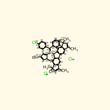 CC1=CC(C)(C)c2cc3c(cc21)-c1cc2c(cc1[CH]3[Zr+2]([C]1=CC(C(C)(C)C)=CC1C(C)C)=[C](c1ccc(Cl)cc1)c1ccc(Cl)cc1)C(C)(C)C=C2C.[Cl-].[Cl-]